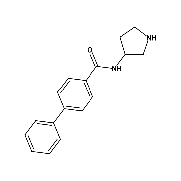 O=C(NC1CCNC1)c1ccc(-c2ccccc2)cc1